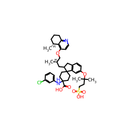 C[C@@H](COc1ccnc2c1[C@H](C)CCC2)CC1Cc2ccc(OC(C)(C)CCS(=O)(=O)O)cc2C12CCC(Nc1cccc(Cl)c1)(C(=O)O)CC2